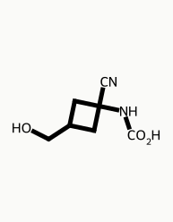 N#CC1(NC(=O)O)CC(CO)C1